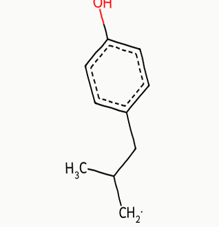 [CH2]C(C)Cc1ccc(O)cc1